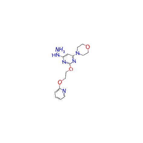 NNc1cc(N2CCOCC2)nc(OCCOc2ccccn2)n1